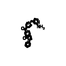 Nc1cc(CN2CCC(C(=O)N3CCC4(CC3)CCN(c3ccccc3)C4=O)CC2)ccn1